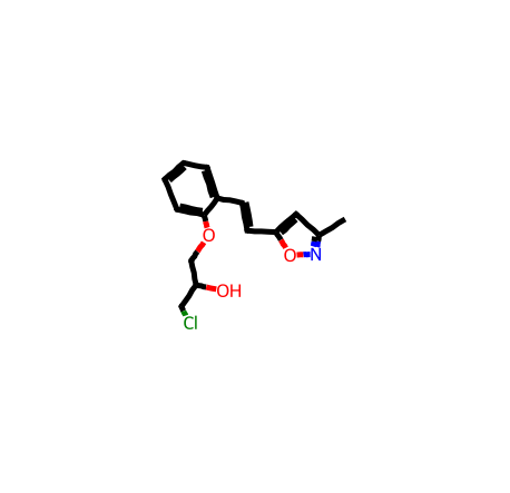 Cc1cc(C=Cc2ccccc2OCC(O)CCl)on1